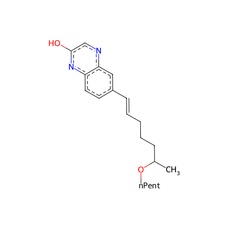 CCCCCOC(C)CCCC=Cc1ccc2nc(O)cnc2c1